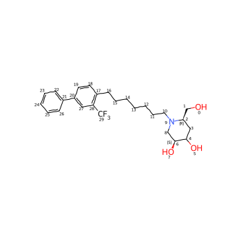 OC[C@H]1CC(O)[C@@H](O)CN1CCCCCCCc1ccc(-c2ccccc2)cc1C(F)(F)F